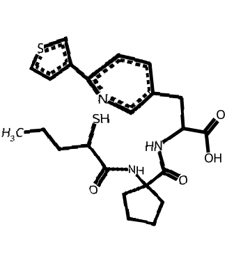 CCCC(S)C(=O)NC1(C(=O)NC(Cc2ccc(-c3ccsc3)nc2)C(=O)O)CCCC1